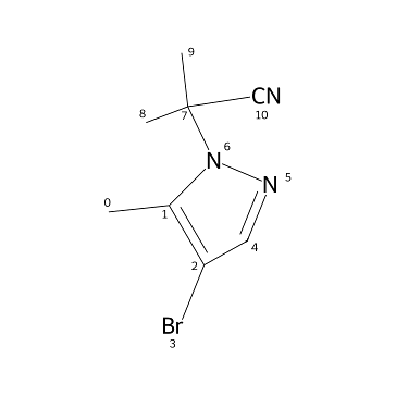 Cc1c(Br)cnn1C(C)(C)C#N